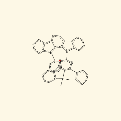 CC1(C)c2ccccc2-c2nc(-n3c4ccccc4c4ccc5c6ccccc6n(-c6ccccc6)c5c43)nc(-c3ccccc3)c21